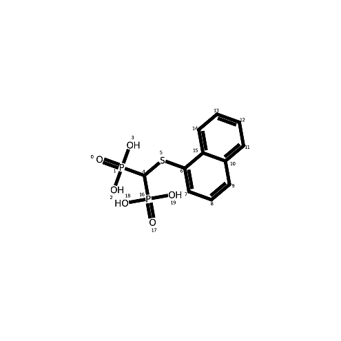 O=P(O)(O)C(Sc1cccc2ccccc12)P(=O)(O)O